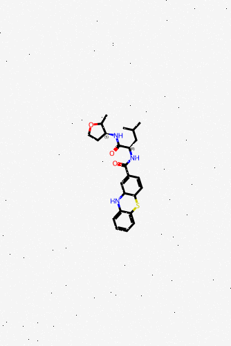 CC(C)C[C@@H](NC(=O)C1=CC2Nc3ccccc3SC2C=C1)C(=O)N[C@H]1CCOC1C